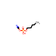 CCCCCOP(=O)(O)OC#N